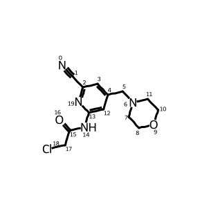 N#Cc1cc(CN2CCOCC2)cc(NC(=O)CCl)n1